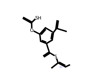 C=C(S)Oc1cc(C(=C)C)cc(C(=C)S/C(C)=C\C)c1